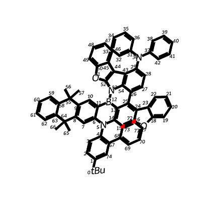 CC(C)(C)c1ccc(N2c3cc4c(cc3B3c5c2cc2oc6ccccc6c2c5-c2ccc(N(c5ccccc5)c5ccccc5)c5c6c7ccccc7oc6n3c25)C(C)(C)c2ccccc2C4(C)C)c(-c2ccccc2)c1